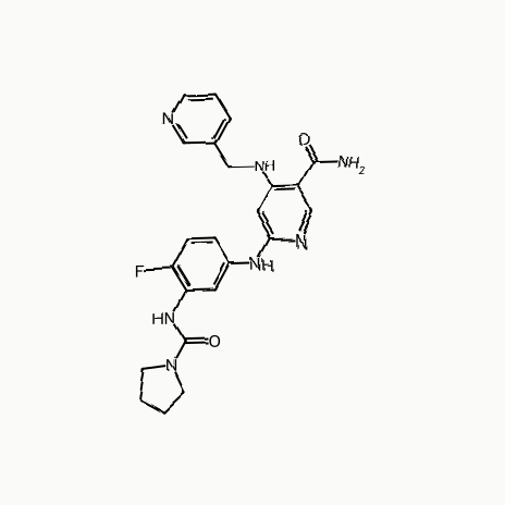 NC(=O)c1cnc(Nc2ccc(F)c(NC(=O)N3CCCC3)c2)cc1NCc1cccnc1